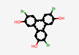 Oc1cc2c3cc(O)c(Br)cc3c3cc(Br)c(O)cc3c2cc1Br